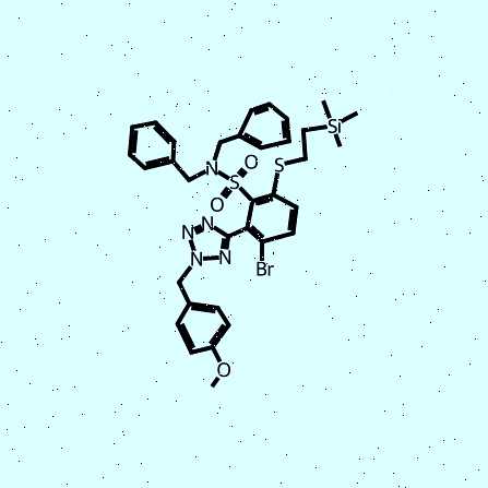 COc1ccc(Cn2nnc(-c3c(Br)ccc(SCC[Si](C)(C)C)c3S(=O)(=O)N(Cc3ccccc3)Cc3ccccc3)n2)cc1